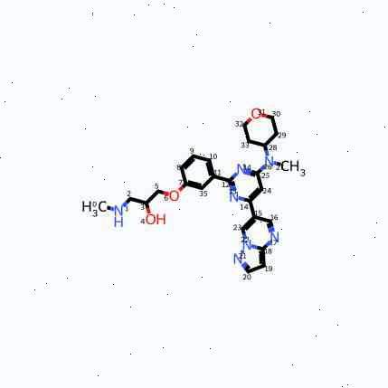 CNCC(O)COc1cccc(-c2nc(-c3cnc4ccnn4c3)cc(N(C)C3CCOCC3)n2)c1